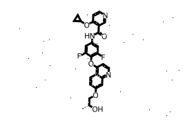 C[C@@H](O)COc1ccc2c(Oc3c(F)cc(NC(=O)c4cnccc4OC4CC4)cc3F)ccnc2c1